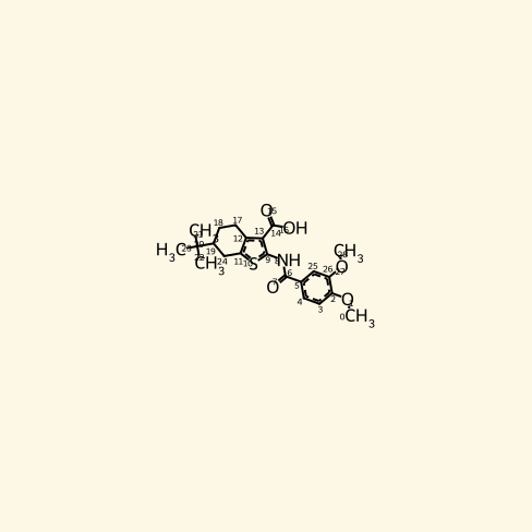 COc1ccc(C(=O)Nc2sc3c(c2C(=O)O)CCC(C(C)(C)C)C3)cc1OC